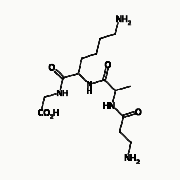 CC(NC(=O)CCN)C(=O)NC(CCCCN)C(=O)NCC(=O)O